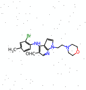 Cc1ccc(Nc2c(C=O)cnc3c2ccn3CCN2CCOCC2)c(Br)c1